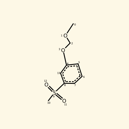 COCOc1cccc(S(C)(=O)=O)c1